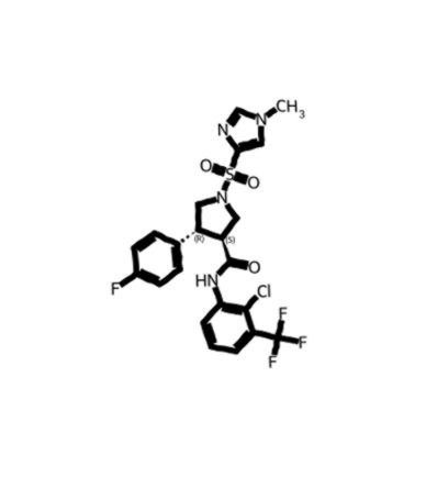 Cn1cnc(S(=O)(=O)N2C[C@@H](C(=O)Nc3cccc(C(F)(F)F)c3Cl)[C@H](c3ccc(F)cc3)C2)c1